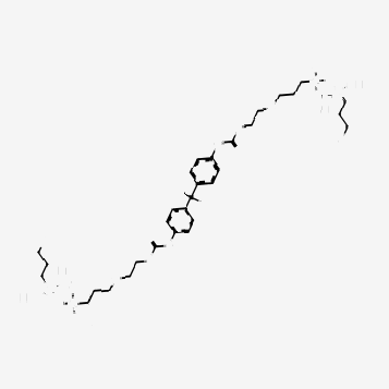 CCCC[Si](C)(C)O[Si](C)(C)CCCOCCOC(=O)Oc1ccc(C(C)(C)c2ccc(OC(=O)OCCOCCC[Si](C)(C)O[Si](C)(C)CCCC)cc2)cc1